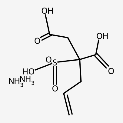 C=CCC(CC(=O)O)(C(=O)O)S(=O)(=O)O.N.N